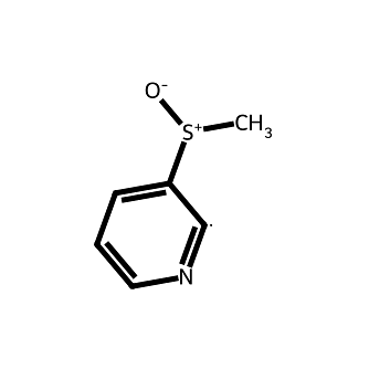 C[S+]([O-])c1[c]nccc1